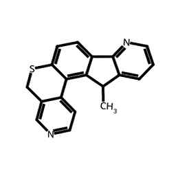 CC1c2cccnc2-c2ccc3c(c21)-c1ccncc1CS3